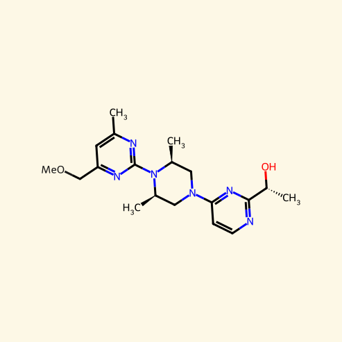 COCc1cc(C)nc(N2[C@H](C)CN(c3ccnc([C@@H](C)O)n3)C[C@@H]2C)n1